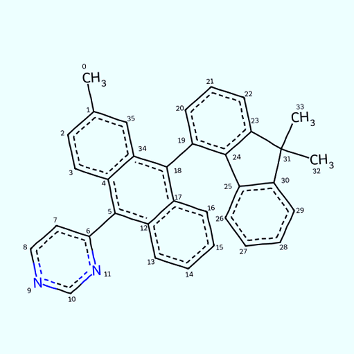 Cc1ccc2c(-c3ccncn3)c3ccccc3c(-c3cccc4c3-c3ccccc3C4(C)C)c2c1